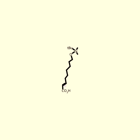 CC(C)(C)[Si](C)(C)OCCCCCC/C=C/C(=O)O